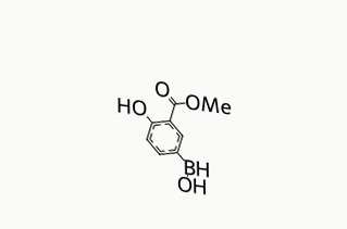 COC(=O)c1cc(BO)ccc1O